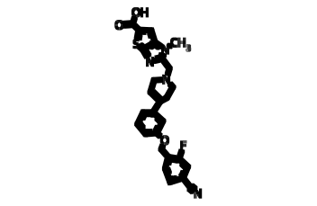 Cn1c(CN2CC=C(c3cccc(OCc4ccc(C#N)cc4F)c3)CC2)nc2sc(C(=O)O)cc21